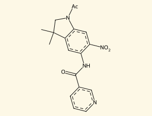 CC(=O)N1CC(C)(C)c2cc(NC(=O)c3cccnc3)c([N+](=O)[O-])cc21